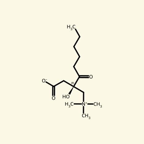 CCCCCC(=O)[C@@](O)(CC(=O)[O-])C[N+](C)(C)C